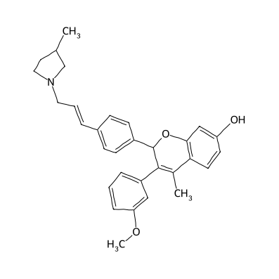 COc1cccc(C2=C(C)c3ccc(O)cc3OC2c2ccc(C=CCN3CCC(C)C3)cc2)c1